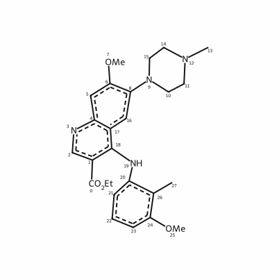 CCOC(=O)c1cnc2cc(OC)c(N3CCN(C)CC3)cc2c1Nc1cccc(OC)c1C